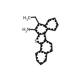 CCc1c(N)c2sc3c4ccccc4ccc3c2c2ccccc12